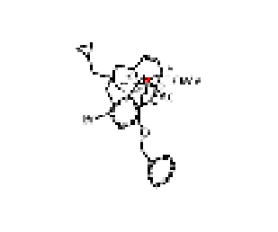 CO[C@@]12C=C[C@]3(C[C@H]1C(C)=O)C1Cc4c(Br)cc(OCc5ccccc5)c5c4[C@]3(CCN1CC1CC1)[C@@H]2O5